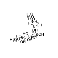 N.O.O.O.O.O.OB(O)O.OB(O)O.OB(O)O.OB(O)O